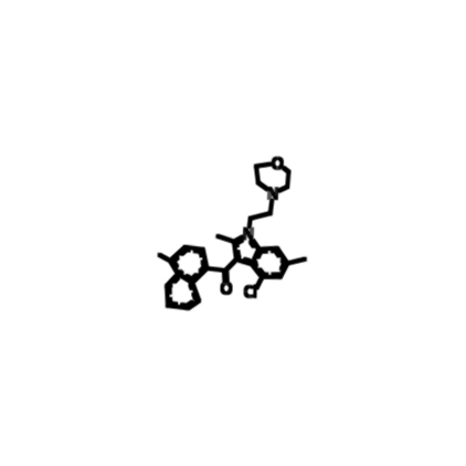 Cc1cc(Cl)c2c(C(=O)c3ccc(C)c4ccccc34)c(C)n(CCN3CCOCC3)c2c1